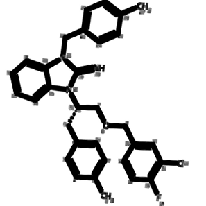 Cc1ccc(C[C@@H](COCc2ccc(F)c(Cl)c2)n2c(=N)n(Cc3ccc(C)cc3)c3ccccc32)cc1